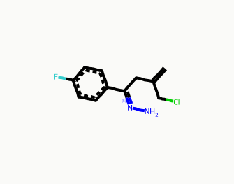 C=C(CCl)C/C(=N\N)c1ccc(F)cc1